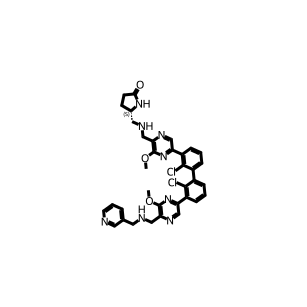 COc1nc(-c2cccc(-c3cccc(-c4cnc(CNC[C@@H]5CCC(=O)N5)c(OC)n4)c3Cl)c2Cl)cnc1CNCc1cccnc1